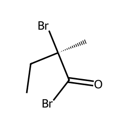 CC[C@@](C)(Br)C(=O)Br